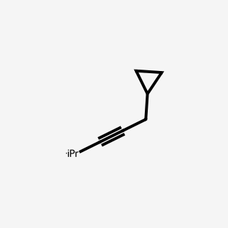 C[C](C)C#CCC1CC1